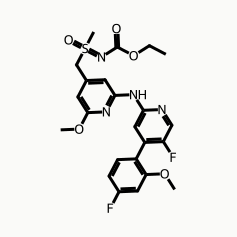 CCOC(=O)N=S(C)(=O)Cc1cc(Nc2cc(-c3ccc(F)cc3OC)c(F)cn2)nc(OC)c1